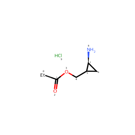 CCC(=O)OCC1C[C@@H]1N.Cl